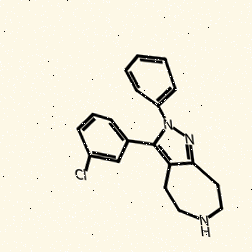 Clc1cccc(-c2c3c(nn2-c2ccccc2)CCNCC3)c1